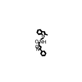 Cc1cc2ccccc2n1CCNC(=O)c1cc(-c2ccccc2)no1